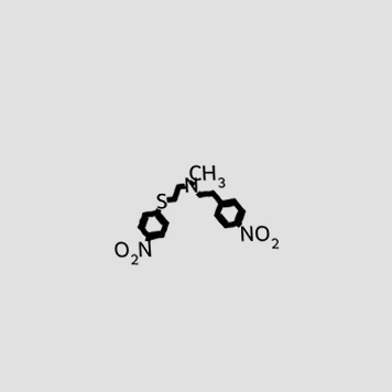 CN(CCSc1ccc([N+](=O)[O-])cc1)CCc1ccc([N+](=O)[O-])cc1